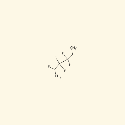 [CH2]CC(F)(F)C(F)(F)C(C)F